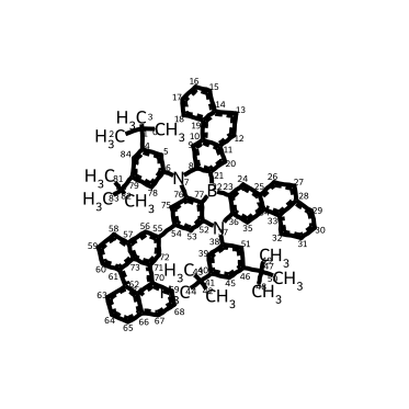 CC(C)(C)c1cc(N2c3cc4c(ccc5ccccc54)cc3B3c4cc5ccc6ccccc6c5cc4N(c4cc(C(C)(C)C)cc(C(C)(C)C)c4)c4cc(-c5cc6cccc7c8cccc9cccc(c(c5)c67)c98)cc2c43)cc(C(C)(C)C)c1